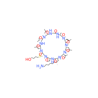 CC[C@@H]1NC(=O)[C@H](C[C@H](C)CCCCCCN)N(C)C(=O)[C@H](C(C)C)N(C)C(=O)[C@H](CC(C)C)N(C)C(=O)[C@H](C=C(C)C)N(C)C(=O)[C@H](C)NC(=O)[C@@H](C)NC(=O)[C@@H](CC(C)C)N(C)C(=O)[C@@H](C(C)C)NC(=O)[C@H](CC(C)C)N(C)C(=O)[C@@H](CSCCCCO)N(C)C1=O